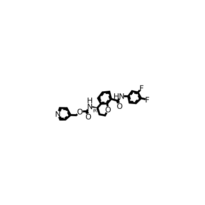 O=C(N[C@@H]1CCOc2c(C(=O)Nc3ccc(F)c(F)c3)cccc21)OCc1ccncc1